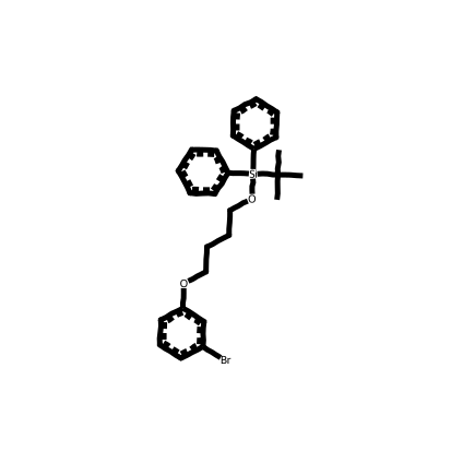 CC(C)(C)[Si](OCCCCOc1cccc(Br)c1)(c1ccccc1)c1ccccc1